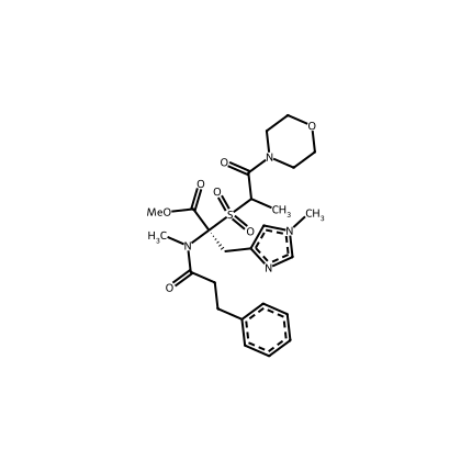 COC(=O)[C@](Cc1cn(C)cn1)(N(C)C(=O)CCc1ccccc1)S(=O)(=O)C(C)C(=O)N1CCOCC1